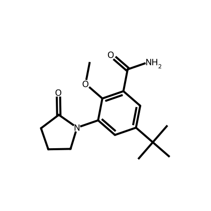 COc1c(C(N)=O)cc(C(C)(C)C)cc1N1CCCC1=O